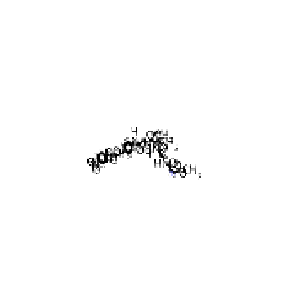 COC(=O)/C=C\C(=O)NCCC(=O)NC(C(=O)NCC(=O)Nc1ccc(COC(=O)Oc2ccc([N+](=O)[O-])cc2)cc1)C(C)C